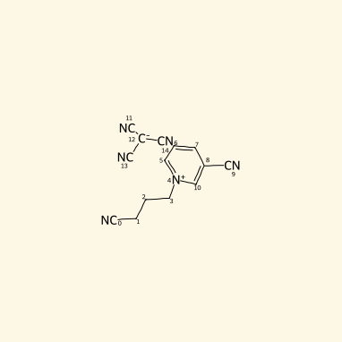 N#CCCC[n+]1cccc(C#N)c1.N#C[C-](C#N)C#N